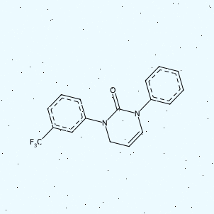 O=C1N(c2ccccc2)C=CCN1c1cccc(C(F)(F)F)c1